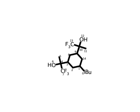 CCC(C)C1CC(C(C)(O)C(F)(F)F)CC(C(C)(O)C(F)(F)F)C1